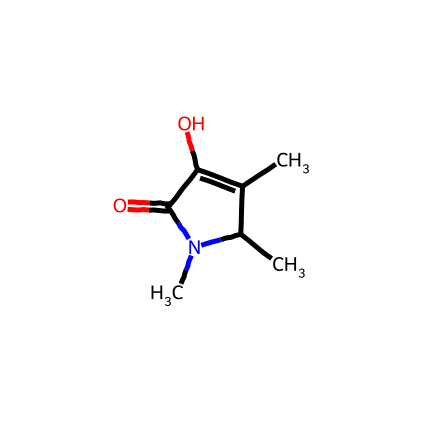 CC1=C(O)C(=O)N(C)C1C